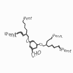 CCCC(C)CCCCC(CCC(C)CCC)COC1=CC(OCC(CCCCC(C)CCC)CCC(C)CCC)CC(C=O)=C1